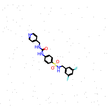 O=C(NCc1ccncc1)Nc1ccc(S(=O)(=O)NCc2cc(F)cc(F)c2)cc1